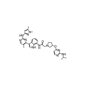 Cc1cnc(Nc2cc(C)n(C)n2)nc1-c1c[nH]c2c(NC(=O)CN3CCC(Oc4ccnc(NC(C)C)n4)C3)cccc12